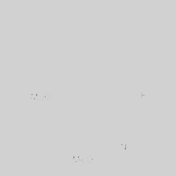 C=Cc1ccc(-c2cc(OC)ncc2F)c(C(OC)C2CC2)c1